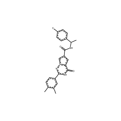 Cc1ccc(-c2nn3cc(C(=O)NC(C)c4ccc(F)cc4)cc3c(=O)[nH]2)cc1C